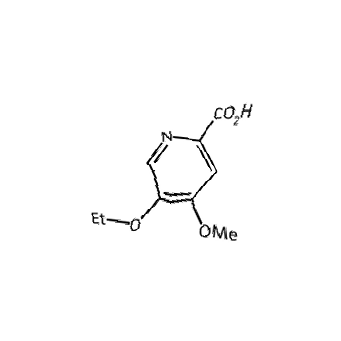 CCOc1cnc(C(=O)O)cc1OC